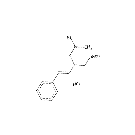 CCCCCCCCCCC(C=Cc1ccccc1)CN(C)CC.Cl